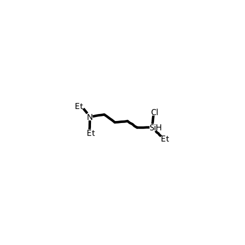 CCN(CC)CCCC[SiH](Cl)CC